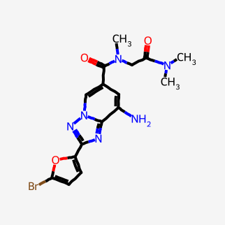 CN(C)C(=O)CN(C)C(=O)c1cc(N)c2nc(-c3ccc(Br)o3)nn2c1